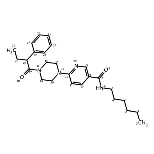 CCCCCCNC(=O)c1ccc(N2CCN(C(=O)C(CC)c3ccccc3)CC2)nc1